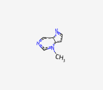 Cn1cncc2nccc1-2